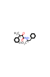 CCOC(=O)[C@H](Cc1ccccc1)NC(=O)C(=O)[C@H](C)c1ccccc1